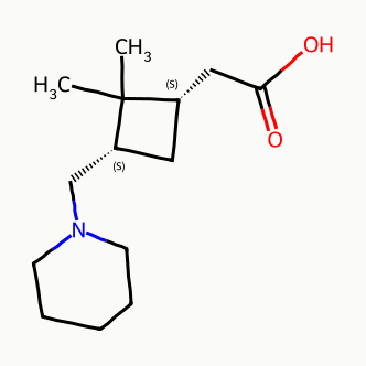 CC1(C)[C@H](CC(=O)O)C[C@@H]1CN1CCCCC1